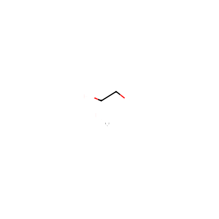 O.OCCO.[Mo]